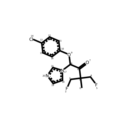 CC(CF)(CF)C(=O)C(Oc1ccc(Cl)cc1)n1ccnc1